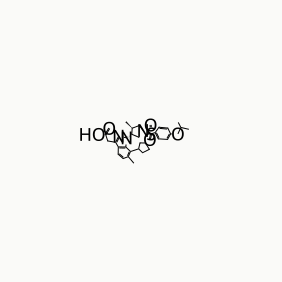 Cc1ccc2c(CC(=O)O)nn([C@H]3CN(S(=O)(=O)c4ccc(OC(C)C)cc4)C[C@@H]3C)c2c1C1CCCC1